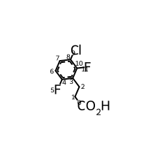 O=C(O)CCc1c(F)ccc(Cl)c1F